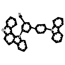 N#Cc1cc(-c2ccc(-n3c4ccccc4c4ccccc43)cc2)cc(-n2c3ccccc3c3ccc4oc5ccccc5c4c32)c1